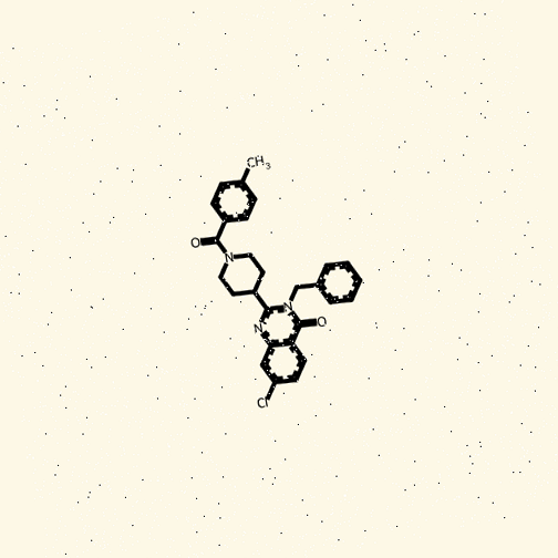 Cc1ccc(C(=O)N2CCC(c3nc4cc(Cl)ccc4c(=O)n3Cc3ccccc3)CC2)cc1